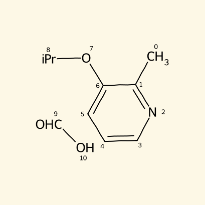 Cc1ncccc1OC(C)C.O=CO